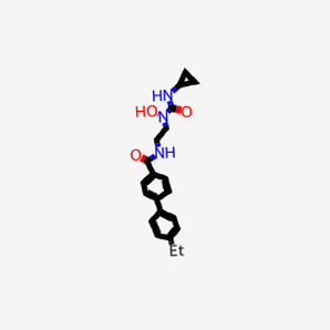 CCc1ccc(-c2ccc(C(=O)NCCN(O)C(=O)NC3CC3)cc2)cc1